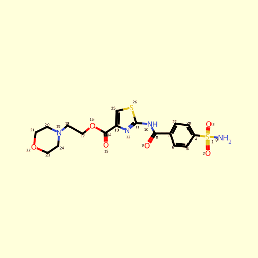 NS(=O)(=O)c1ccc(C(=O)Nc2nc(C(=O)OCCN3CCOCC3)cs2)cc1